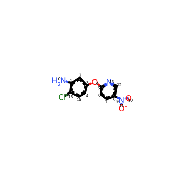 Nc1cc(Oc2ccc([N+](=O)[O-])cn2)ccc1Cl